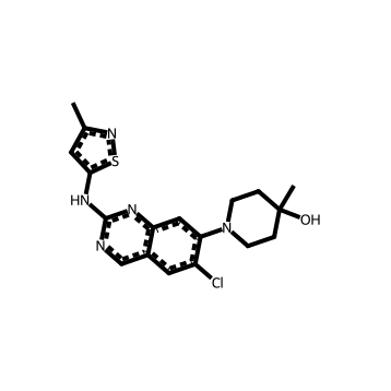 Cc1cc(Nc2ncc3cc(Cl)c(N4CCC(C)(O)CC4)cc3n2)sn1